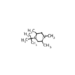 CC1CN(C(C)(C)C)C(C)CN1C